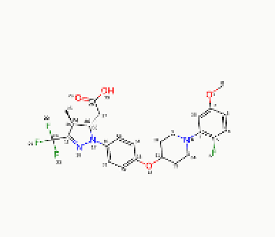 COc1ccc(F)c(N2CCC(Oc3ccc(N4N=C(C(F)(F)F)[C@@H](C)[C@@H]4CC(=O)O)cc3)CC2)c1